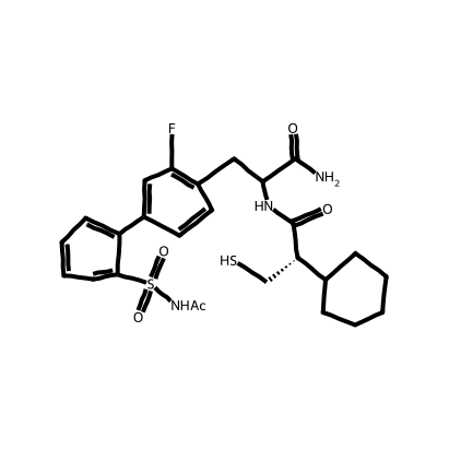 CC(=O)NS(=O)(=O)c1ccccc1-c1ccc(CC(NC(=O)[C@@H](CS)C2CCCCC2)C(N)=O)c(F)c1